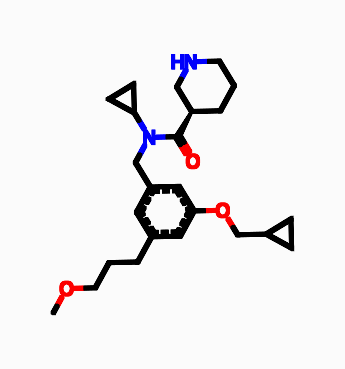 COCCCc1cc(CN(C(=O)[C@@H]2CCCNC2)C2CC2)cc(OCC2CC2)c1